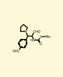 CC(C)(C)OC(=O)NC(C=O)C(c1ccc(C=O)cc1)N1CCCC1